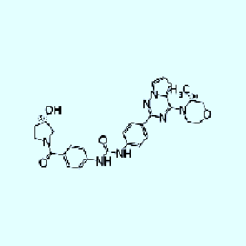 C[C@@H]1COCCN1c1nc(-c2ccc(NC(=O)Nc3ccc(C(=O)N4CC[C@H](O)C4)cc3)cc2)nn2cccc12